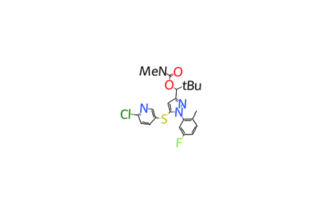 CNC(=O)OC(c1cc(Sc2ccc(Cl)nc2)n(-c2cc(F)ccc2C)n1)C(C)(C)C